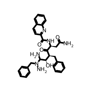 NC(=O)C[C@H](NC(=O)c1ccc2ccccc2n1)C(=O)[C@@H](Cc1ccccc1)[C@H](O)C(N)N(N)Cc1ccccc1